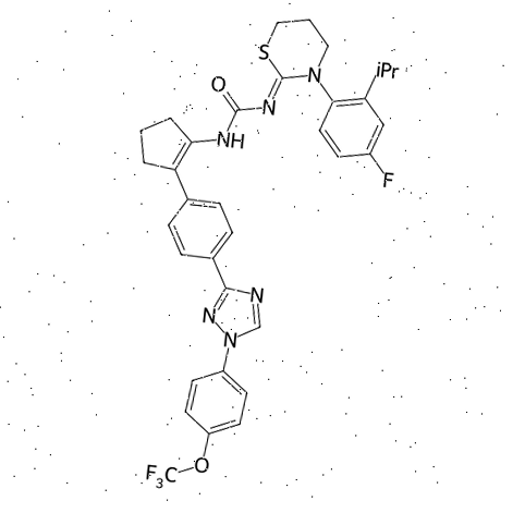 CC(C)c1cc(F)ccc1N1CCCS/C1=N\C(=O)NC1=C(c2ccc(-c3ncn(-c4ccc(OC(F)(F)F)cc4)n3)cc2)CCC1